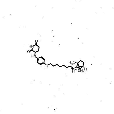 CC1(C)[C@@H]2CC[C@@]1(C)[C@@H](NCCCCCCCNc1ccc(NC3CCC(=O)NC3=O)cc1)C2